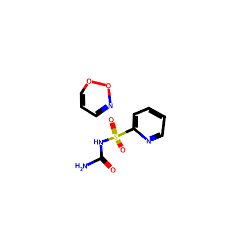 C1=COON=C1.NC(=O)NS(=O)(=O)c1ccccn1